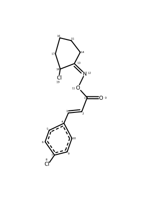 O=C(C=Cc1ccc(Cl)cc1)ON=C1CCCCC1Cl